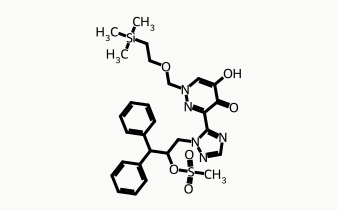 C[Si](C)(C)CCOCn1cc(O)c(=O)c(-c2ncnn2CC(OS(C)(=O)=O)C(c2ccccc2)c2ccccc2)n1